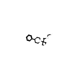 CC(C)CNC(=O)C1(N2CCC(c3ccccc3)CC2)COC1